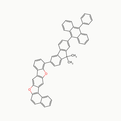 CC1(C)c2ccc(-c3cccc4c3oc3cc5c(cc34)oc3ccc4ccccc4c35)cc2-c2ccc(-c3c4ccccc4c(-c4ccccc4)c4ccccc34)cc21